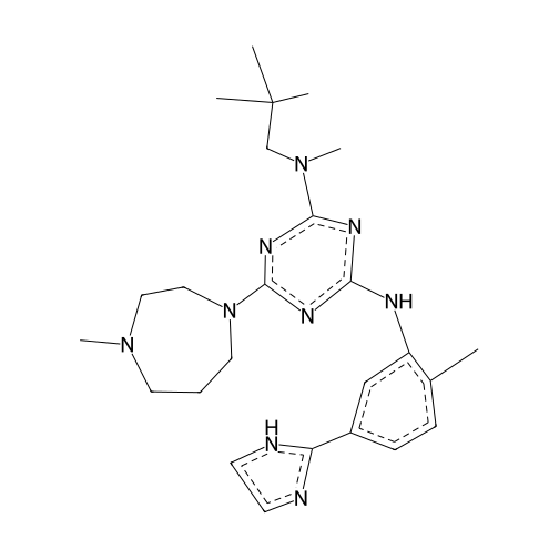 Cc1ccc(-c2ncc[nH]2)cc1Nc1nc(N(C)CC(C)(C)C)nc(N2CCCN(C)CC2)n1